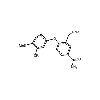 CNCc1cc(C(N)=O)ccc1Oc1ccc(SC)c(C(F)(F)F)c1